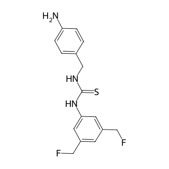 Nc1ccc(CNC(=S)Nc2cc(CF)cc(CF)c2)cc1